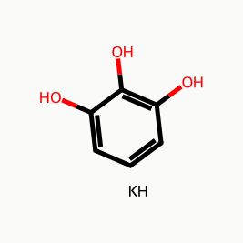 Oc1cccc(O)c1O.[KH]